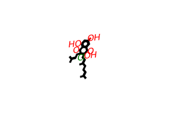 CC(C)=CCC/C(C)=C/C[C@]1(O)C(=O)c2cc(O)cc(O)c2C(=O)[C@@]1(Cl)CC=C(C)C